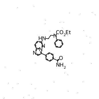 CCOC(=O)N(CCNc1ccc2ncc(-c3ccc(C(N)=O)cc3)n2n1)c1ccccc1